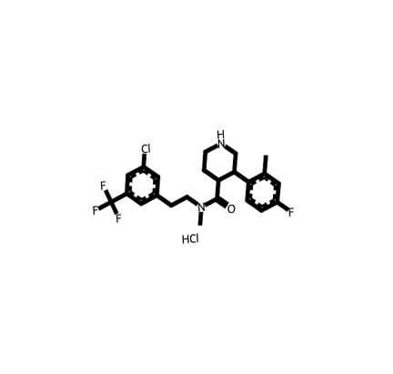 Cc1cc(F)ccc1C1CNCCC1C(=O)N(C)CCc1cc(Cl)cc(C(F)(F)F)c1.Cl